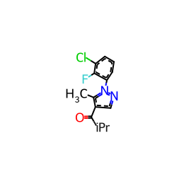 Cc1c(C(=O)C(C)C)cnn1-c1cccc(Cl)c1F